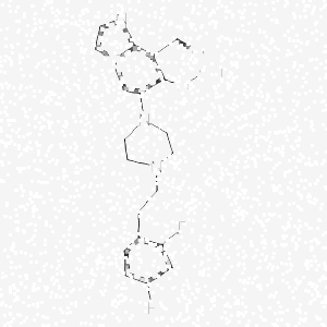 COc1c(N2CCN(CCc3ccc(F)cc3F)CC2)cn2ccnc2c1C=O